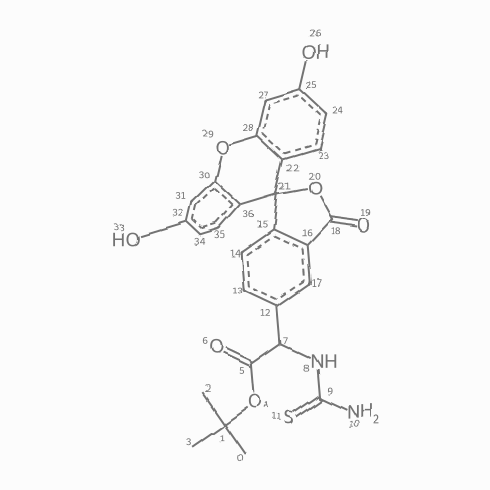 CC(C)(C)OC(=O)C(NC(N)=S)c1ccc2c(c1)C(=O)OC21c2ccc(O)cc2Oc2cc(O)ccc21